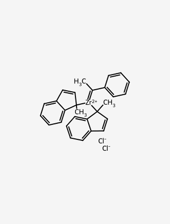 C[C](c1ccccc1)=[Zr+2]([C]1(C)C=Cc2ccccc21)[C]1(C)C=Cc2ccccc21.[Cl-].[Cl-]